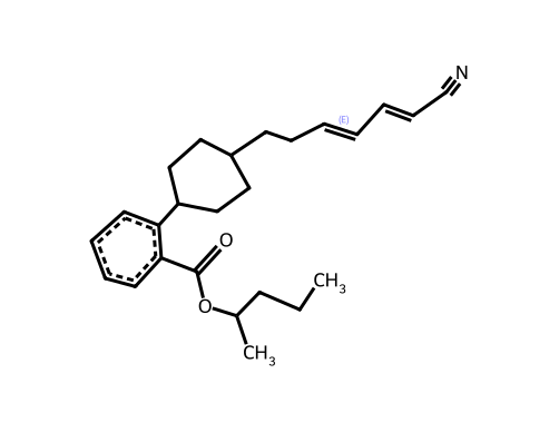 CCCC(C)OC(=O)c1ccccc1C1CCC(CC/C=C/C=CC#N)CC1